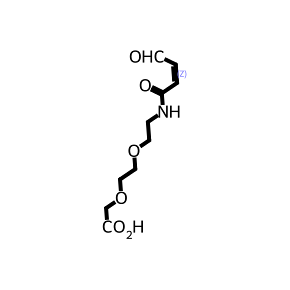 O=C/C=C\C(=O)NCCOCCOCC(=O)O